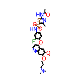 COc1cc2c(Oc3ccc(NS(=O)(=O)c4sc(NC(C)=O)nc4C)cc3F)ccnc2cc1OCCCN(C)C